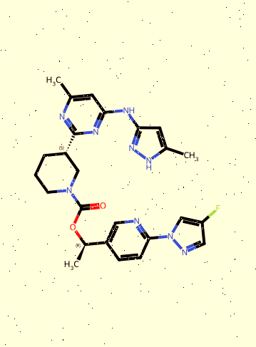 Cc1cc(Nc2cc(C)[nH]n2)nc([C@H]2CCCN(C(=O)O[C@H](C)c3ccc(-n4cc(F)cn4)nc3)C2)n1